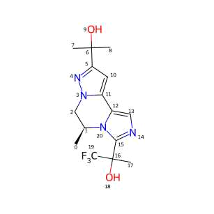 C[C@H]1Cn2nc(C(C)(C)O)cc2-c2cnc(C(C)(O)C(F)(F)F)n21